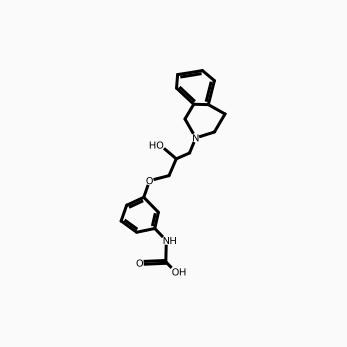 O=C(O)Nc1cccc(OCC(O)CN2CCc3ccccc3C2)c1